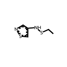 CCSNc1cnsc1